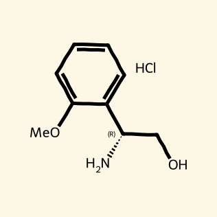 COc1ccccc1[C@@H](N)CO.Cl